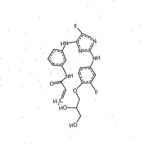 C=CC(=O)Nc1cccc(Nc2nc(Nc3ccc(OCC(O)CO)c(F)c3)ncc2F)c1